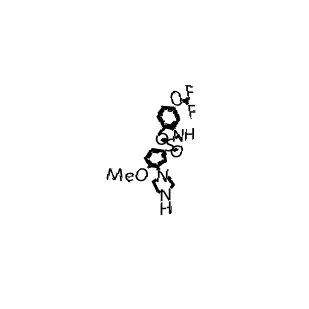 COc1ccc(S(=O)(=O)Nc2cc(OC(F)F)ccc2C)cc1N1CCNCC1